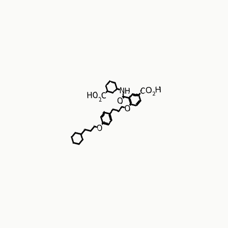 O=C(O)c1ccc(OCCCc2ccc(OCCCC3CCCCC3)cc2)c(C(=O)NC2CCCC(C(=O)O)C2)c1